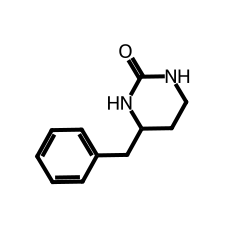 O=C1NCCC(Cc2ccccc2)N1